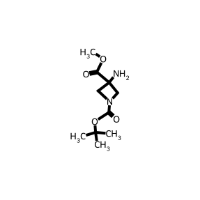 COC(=O)C1(N)CN(C(=O)OC(C)(C)C)C1